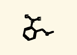 COCc1cccc[c]1[Bi]([Cl])[Cl]